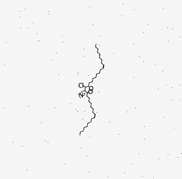 CCCCCCCC/C=C\CCCCCCCC(=O)C(Cl)C(C[N+](C)(C)C)C(=O)CCCCCCC/C=C\CCCCCCCC